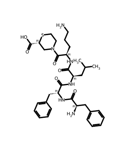 CC(C)C[C@@H](NC(=O)[C@@H](Cc1ccccc1)NC(=O)[C@H](N)Cc1ccccc1)C(=O)N[C@H](CCCN)C(=O)N1CCS[C@@H](C(=O)O)C1